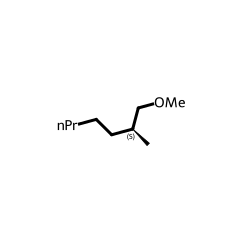 CCCCC[C@H](C)COC